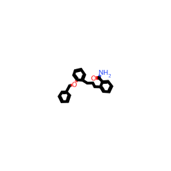 NC(=O)c1ccccc1CCCc1ccccc1OCc1ccccc1